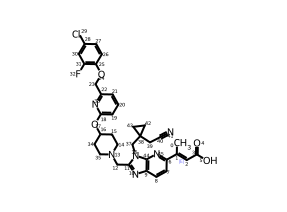 C/C(=C\C(=O)O)c1ccc2nc(CN3CCC(Oc4cccc(COc5ccc(Cl)cc5F)n4)CC3)n(CC3(CC#N)CC3)c2n1